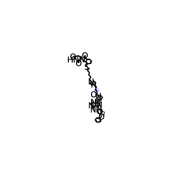 Nc1ncnc2c1c(-c1ccc(Oc3ccccc3)cc1)nn2[C@@H]1CCCN(C(=O)/C=C/CN2CCN(CCCCCCSc3cccc4c3CN(C3CCC(=O)NC3=O)C4=O)CC2)C1